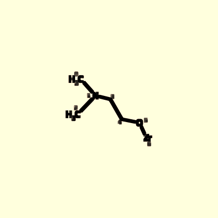 CN(C)CC[O][Zr]